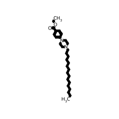 CCCCCCCCCCCCCCCCN1CCN(c2ccc(C(=O)OCC)cc2)CC1